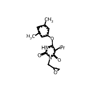 Cc1cc(C)cc(Oc2[nH]c(=O)n(CC3CO3)c(=O)c2C(C)C)c1